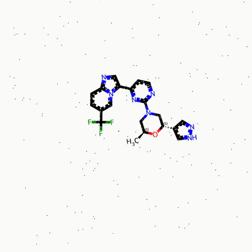 C[C@H]1CN(c2nccc(-c3cnc4ccc(C(F)(F)F)cn34)n2)C[C@H](c2cn[nH]c2)O1